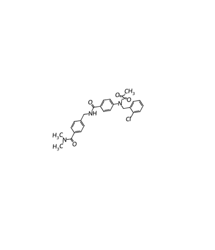 CN(C)C(=O)c1ccc(CNC(=O)c2ccc(N(Cc3ccccc3Cl)S(C)(=O)=O)cc2)cc1